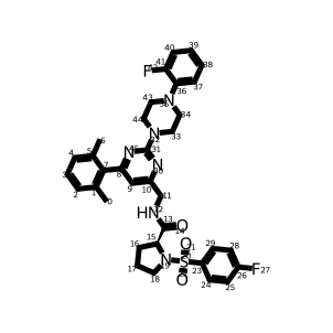 Cc1cccc(C)c1-c1cc(CNC(=O)[C@@H]2CCCN2S(=O)(=O)c2ccc(F)cc2)nc(N2CCN(c3ccccc3F)CC2)n1